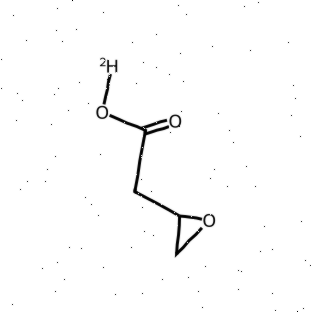 [2H]OC(=O)CC1CO1